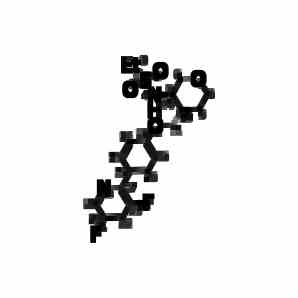 CCS(=O)(=O)N[C@H]1COCC[C@@H]1COc1ccc(-c2ncc(F)cc2F)cc1